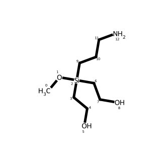 CO[Si](CCO)(CCO)CCCN